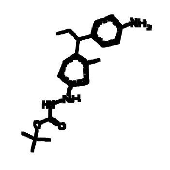 CCC(c1ccc(N)cc1)c1ccc(NNC(=O)OC(C)(C)C)cc1C